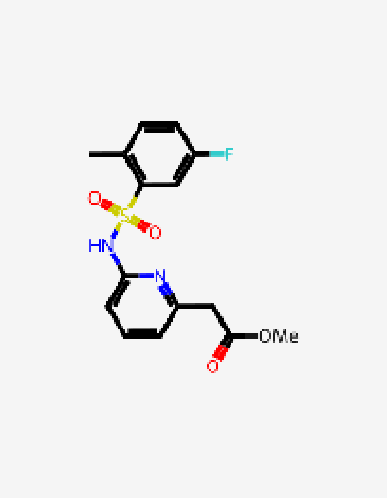 COC(=O)Cc1cccc(NS(=O)(=O)c2cc(F)ccc2C)n1